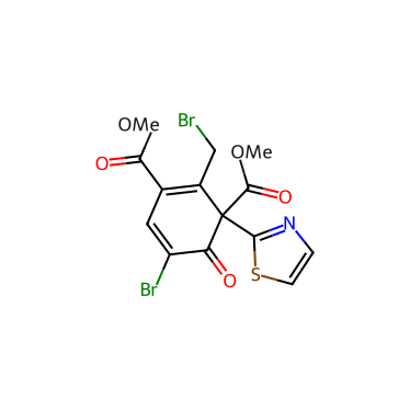 COC(=O)C1=C(CBr)C(C(=O)OC)(c2nccs2)C(=O)C(Br)=C1